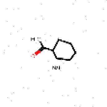 CC(=O)C1CCCCC1.[NaH]